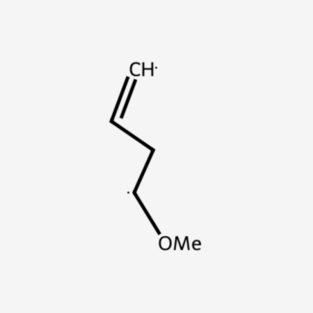 [CH]=CC[CH]OC